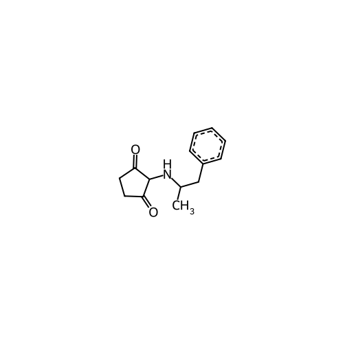 CC(Cc1ccccc1)NC1C(=O)CCC1=O